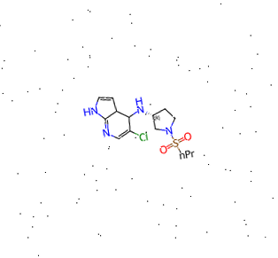 CCCS(=O)(=O)N1CC[C@@H](NC2C(Cl)=CN=C3NC=CC32)C1